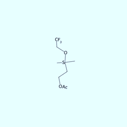 CC(=O)OCC[Si](C)(C)OCC(F)(F)F